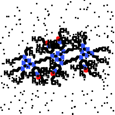 CCCCN(CCCC)c1nc(N(CCCC)CCCC)nc(N(CCCCCCN(c2nc(N(CCCC)C3CC(C)(C)N(OCCC)C(C)(C)C3)nc(N(CCCCCCN(c3nc(N(CCCC)CCCC)nc(N(CCCC)CCCC)n3)C3CC(C)(C)N(OCCC)C(C)(C)C3)C3CC(C)(C)N(OCCC)C(C)(C)C3)n2)C2CC(C)(C)N(OCCC)C(C)(C)C2)C2CC(C)(C)N(OCCC)C(C)(C)C2)n1